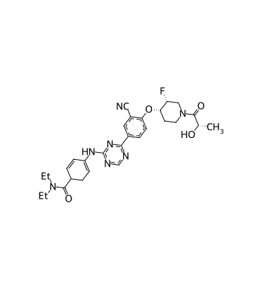 CCN(CC)C(=O)C1C=CC(Nc2ncnc(-c3ccc(O[C@H]4CCN(C(=O)[C@H](C)O)C[C@H]4F)c(C#N)c3)n2)=CC1